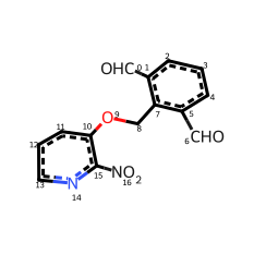 O=Cc1cccc(C=O)c1COc1cccnc1[N+](=O)[O-]